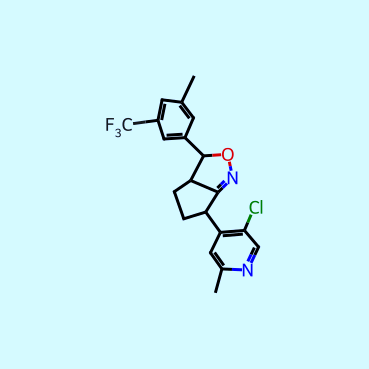 Cc1cc(C2ON=C3C(c4cc(C)ncc4Cl)CCC32)cc(C(F)(F)F)c1